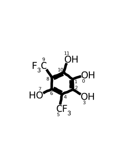 Oc1c(O)c(C(F)(F)F)c(O)c(C(F)(F)F)c1O